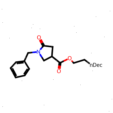 CCCCCCCCCCCCOC(=O)C1CC(=O)N(Cc2ccccc2)C1